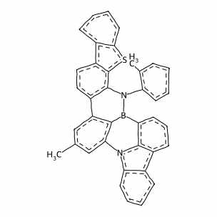 Cc1cc2c3c(c1)-n1c4ccccc4c4cccc(c41)B3N(c1ccccc1C)c1c-2ccc2c1sc1ccccc12